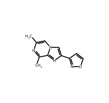 Cc1cn2cc(-c3ccon3)nc2c(C)n1